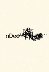 CCCCCCCCCCCCCCOc1c(F)cccc1NC(=O)Nc1cccc(C[n+]2cscc2C)c1.[Br-]